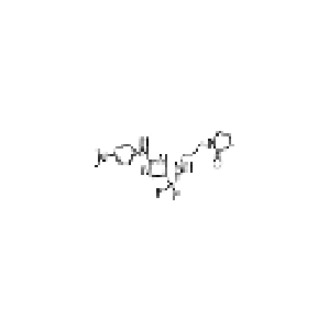 CN(C)c1ccc(Nc2ncc(C(F)(F)F)c(NCCCN3CCCC3=O)n2)cc1